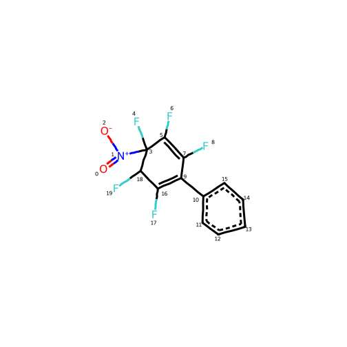 O=[N+]([O-])C1(F)C(F)=C(F)C(c2ccccc2)=C(F)C1F